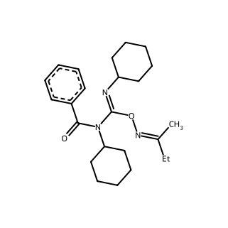 CC/C(C)=N/O/C(=N\C1CCCCC1)N(C(=O)c1ccccc1)C1CCCCC1